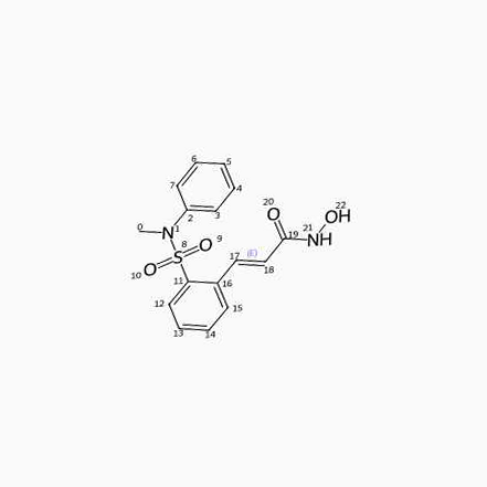 CN(c1ccccc1)S(=O)(=O)c1ccccc1/C=C/C(=O)NO